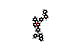 C1=c2sc3c(-c4ccc(N(c5ccc(-c6ccc(-n7c8ccccc8c8c9ccccc9ccc87)cc6)cc5)c5ccccc5-c5ccccc5)cc4)cccc3c2=CCC1